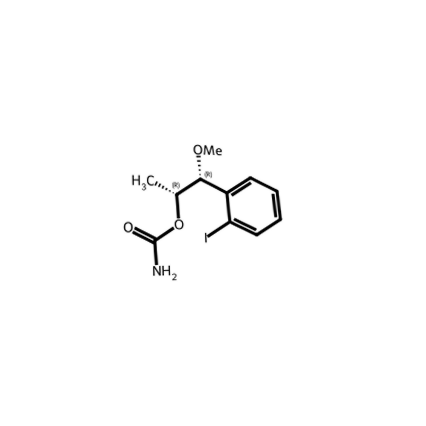 CO[C@H](c1ccccc1I)[C@@H](C)OC(N)=O